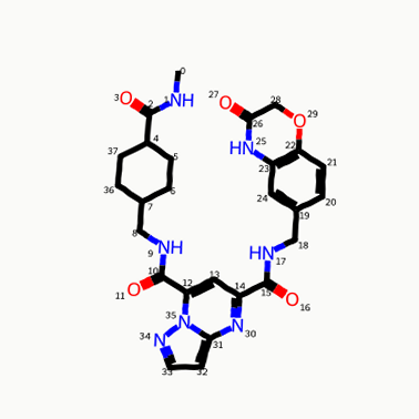 CNC(=O)C1CCC(CNC(=O)c2cc(C(=O)NCc3ccc4c(c3)NC(=O)CO4)nc3ccnn23)CC1